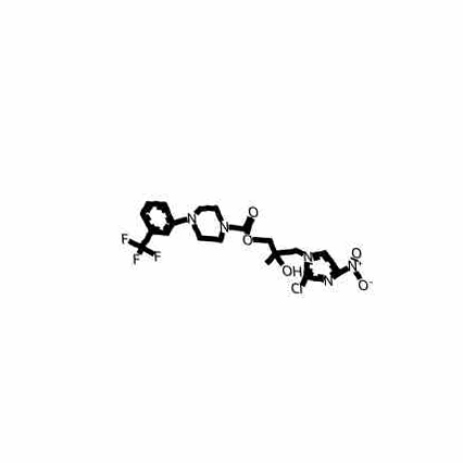 CC(O)(COC(=O)N1CCN(c2cccc(C(F)(F)F)c2)CC1)Cn1cc([N+](=O)[O-])nc1Cl